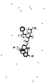 CC(C)COC(=O)[C@H](CC(=O)OC1=CC[C@@]2(O)[C@H]3Cc4ccc(O)c5c4[C@@]2(CCC3C)[C@H]1O5)NC(=O)[C@@H](O)c1ccccc1